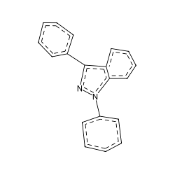 c1ccc(-c2nn(-c3ccccc3)c3ccccc23)cc1